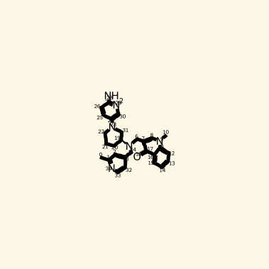 Cc1cc(CN(Cc2cn(C)c3ccccc3c2=O)[C@H]2CCCN(c3ccc(N)nc3)C2)ccn1